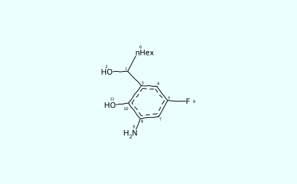 CCCCCCC(O)c1cc(F)cc(N)c1O